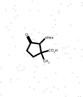 CCCCCCC1C(=O)CCC1(C)C(=O)O